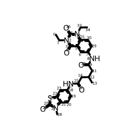 CCn1c(=O)c2cc(NC(=O)CC(C)CC(=O)Nc3ccc4c(c3)sc(=O)n4C)ccc2n(CC)c1=O